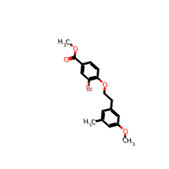 COC(=O)c1ccc(OCCc2cc(C)cc(OC)c2)c(Br)c1